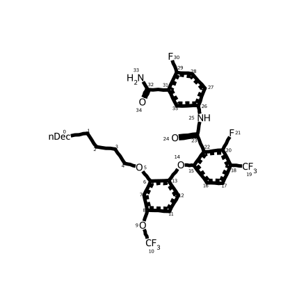 CCCCCCCCCCCCCCOc1cc(OC(F)(F)F)ccc1Oc1ccc(C(F)(F)F)c(F)c1C(=O)Nc1ccc(F)c(C(N)=O)c1